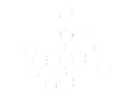 c1ccc(-c2ccc(-c3c4ccc(-n5c(-c6ccccc6)ccc5-c5ccccc5)cc4c(-c4ccccc4)c4ccc(-n5c(-c6ccccc6)ccc5-c5ccccc5)cc34)cc2)cc1